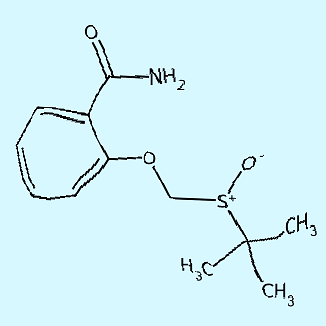 CC(C)(C)[S+]([O-])COc1ccccc1C(N)=O